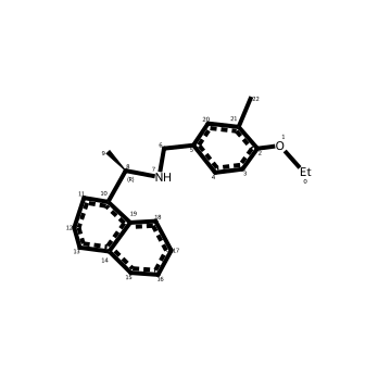 CCOc1ccc(CN[C@H](C)c2cccc3ccccc23)cc1C